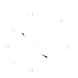 C[C@H]1[C@@H](O)[C@@H](C)[C@]2(C)O[C@H]1[C@H]1O[C@H]12